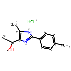 Cc1ccc(-c2nc(C(O)C(C)C)c(C(C)(C)C)[nH]2)cc1.Cl